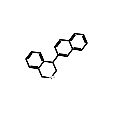 c1ccc2c(c1)CNCC2c1ccc2ccccc2c1